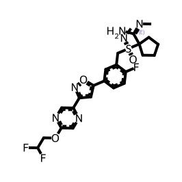 CN=S(=O)(Cc1cc(-c2cc(-c3cnc(OCC(F)F)cn3)no2)ccc1F)C1(/C(N)=N\C)CCCC1